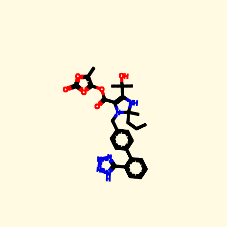 CCCC1(C)NC(C(C)(C)O)=C(C(=O)Oc2oc(=O)oc2C)N1Cc1ccc(-c2ccccc2-c2nnn[nH]2)cc1